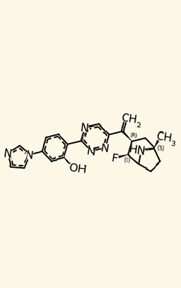 C=C(c1cnc(-c2ccc(-n3ccnc3)cc2O)nn1)[C@H]1C[C@]2(C)CCC(N2)[C@H]1F